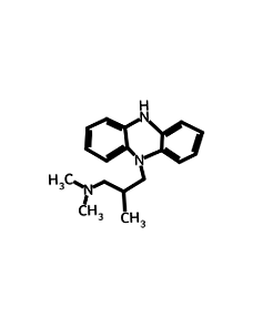 CC(CN(C)C)CN1c2ccccc2Nc2ccccc21